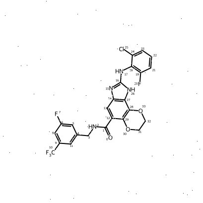 O=C(NCc1cc(F)cc(C(F)(F)F)c1)c1cc2nc(Nc3c(F)cccc3Cl)[nH]c2c2c1OCCO2